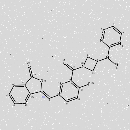 CCN(c1ncccn1)C1CN(C(=O)c2cc(/C=C3\OC(=O)c4ccccc43)ccc2F)C1